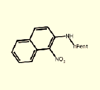 CCCCCNc1ccc2ccccc2c1[N+](=O)[O-]